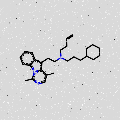 C=CCCN(CCCC1CCCCC1)CCc1c2ccccc2n2c(C)ncc(C)c12